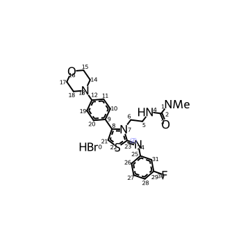 Br.CNC(=O)NCCn1c(-c2ccc(N3CCOCC3)cc2)cs/c1=N\c1cccc(F)c1